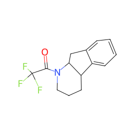 O=C(N1CCCC2c3ccccc3CC21)C(F)(F)F